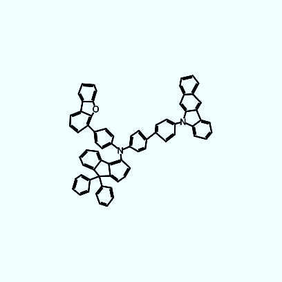 c1ccc(C2(c3ccccc3)c3ccccc3-c3c(N(c4ccc(-c5ccc(-n6c7ccccc7c7cc8ccccc8cc76)cc5)cc4)c4ccc(-c5cccc6c5oc5ccccc56)cc4)cccc32)cc1